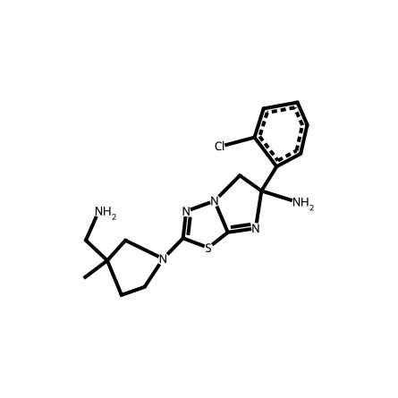 CC1(CN)CCN(C2=NN3CC(N)(c4ccccc4Cl)N=C3S2)C1